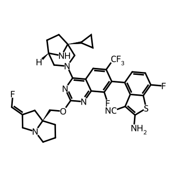 N#Cc1c(N)sc2c(F)ccc(-c3c(C(F)(F)F)cc4c(N5C[C@@H]6CC[C@](C7CC7)(C5)N6)nc(OC[C@@]56CCCN5C/C(=C/F)C6)nc4c3F)c12